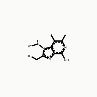 Cc1nc(N)c2nc(CO)n(NC(C)C)c2c1C